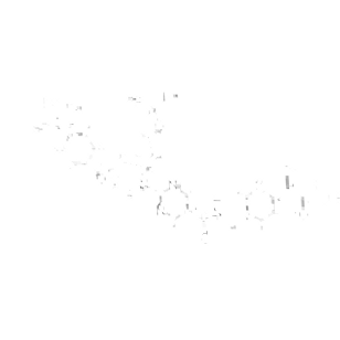 CCC(=O)C(=O)c1ccc(CNC(=O)c2cnc(N3C[C@H](Oc4ccc(C(F)(F)F)cc4)C[C@H]3CCOC(F)F)nc2)cc1